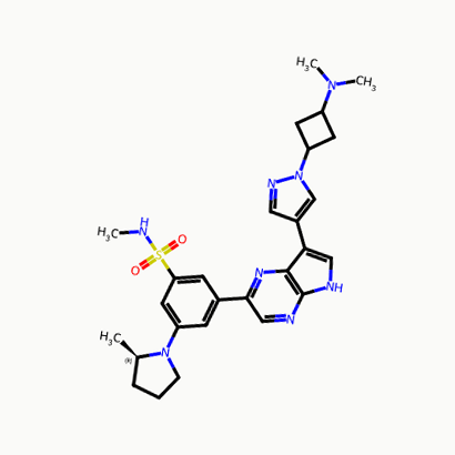 CNS(=O)(=O)c1cc(-c2cnc3[nH]cc(-c4cnn(C5CC(N(C)C)C5)c4)c3n2)cc(N2CCC[C@H]2C)c1